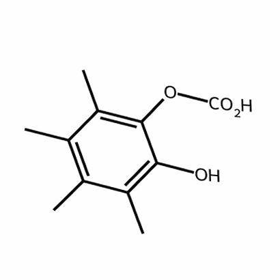 Cc1c(C)c(C)c(OC(=O)O)c(O)c1C